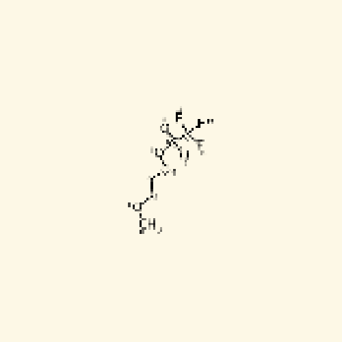 COCCOOS(=O)(=O)C(F)(F)F